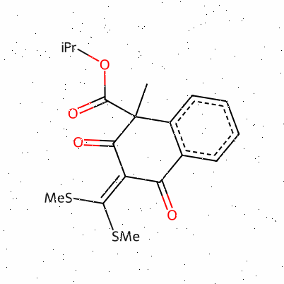 CSC(SC)=C1C(=O)c2ccccc2C(C)(C(=O)OC(C)C)C1=O